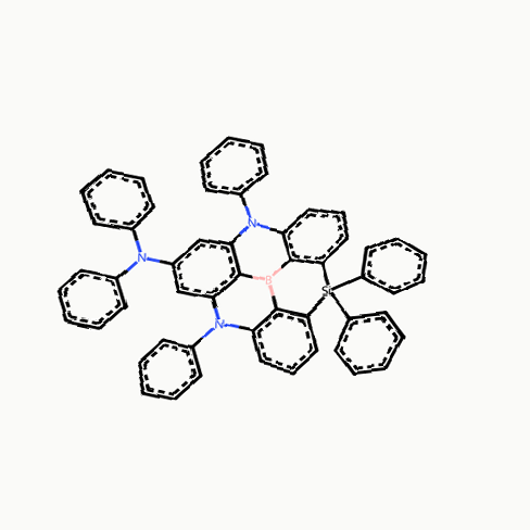 c1ccc(N(c2ccccc2)c2cc3c4c(c2)N(c2ccccc2)c2cccc5c2B4c2c(cccc2[Si]5(c2ccccc2)c2ccccc2)N3c2ccccc2)cc1